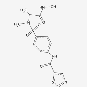 CC(C(=O)NO)N(C)S(=O)(=O)c1ccc(NC(=O)c2cncs2)cc1